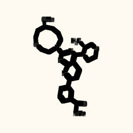 CNC(=O)c1cccc(-c2ccc3c(N4CCOC[C@@H]4C)nc(N4CCC[C@H](OC)CCOCC4)nc3n2)c1